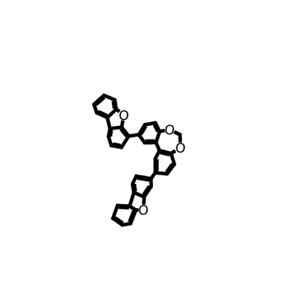 c1ccc2c(c1)oc1cc(-c3ccc4c(c3)-c3cc(-c5cccc6c5oc5ccccc56)ccc3OCO4)ccc12